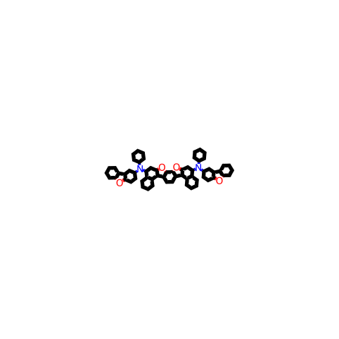 c1ccc(N(c2ccc3oc4ccccc4c3c2)c2cc3oc4c(ccc5c4oc4cc(N(c6ccccc6)c6ccc7oc8ccccc8c7c6)c6ccccc6c45)c3c3ccccc23)cc1